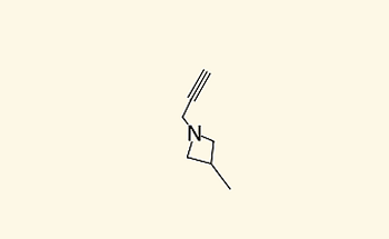 C#CCN1CC(C)C1